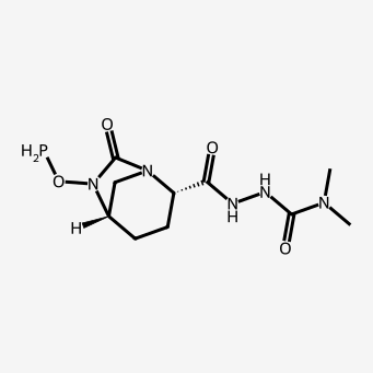 CN(C)C(=O)NNC(=O)[C@@H]1CC[C@H]2CN1C(=O)N2OP